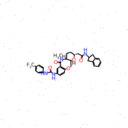 CN1C(=O)c2cc(NC(=O)Nc3ccc(C(F)(F)F)cc3)ccc2OC[C@@H]2O[C@H](CC(=O)NC3Cc4ccccc4C3)CC[C@@H]21